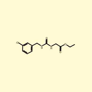 CCOC(=O)CNC(=O)NCc1cccc(Cl)c1